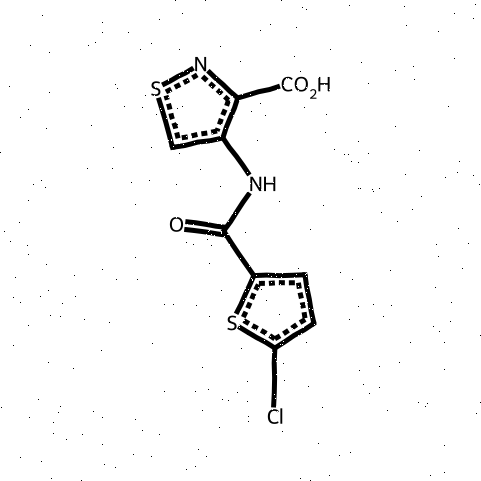 O=C(Nc1csnc1C(=O)O)c1ccc(Cl)s1